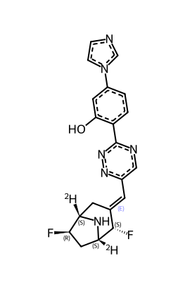 [2H][C@]12C/C(=C\c3cnc(-c4ccc(-n5ccnc5)cc4O)nn3)[C@H](F)[C@]([2H])(C[C@H]1F)N2